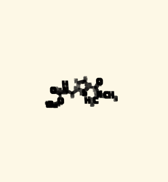 CN(C)C(=O)c1ccc(CNC(=O)OC(C)(C)C)s1